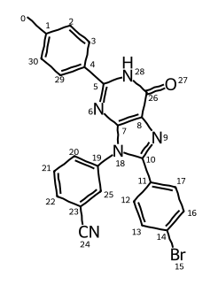 Cc1ccc(-c2nc3c(nc(-c4ccc(Br)cc4)n3-c3cccc(C#N)c3)c(=O)[nH]2)cc1